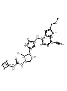 COCc1cn2c(Nc3cc([C@H]4OC[C@@H](OC(=O)NC56CC(C5)C6)[C@H]4F)[nH]n3)ncc(C#N)c2n1